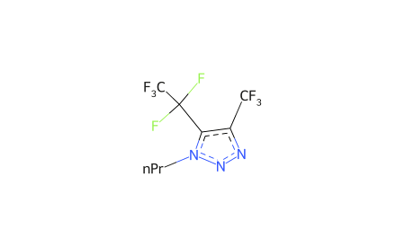 CCCn1nnc(C(F)(F)F)c1C(F)(F)C(F)(F)F